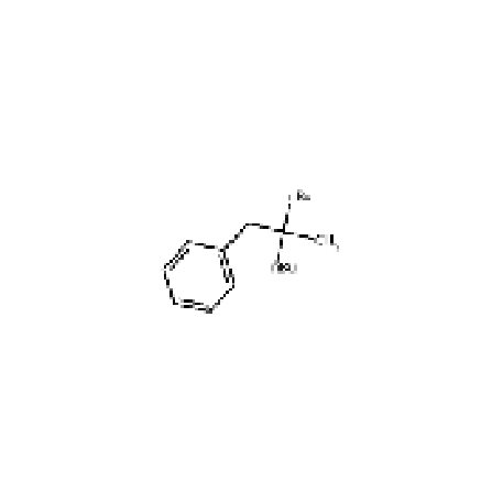 CCCCC(C)(CCCC)Cc1ccccc1